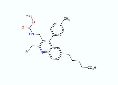 Cc1ccc(-c2c(CNC(=O)OC(C)(C)C)c(CC(C)C)nc3ccc(CCCCC(=O)O)cc23)cc1